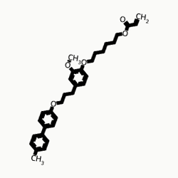 C=CC(=O)OCCCCCCOc1ccc(CCCOc2ccc(-c3ccc(C)cc3)cc2)cc1OC